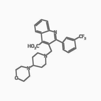 O=C(O)c1c(CN2CCC(N3CCOCC3)CC2)c(-c2cccc(C(F)(F)F)c2)nc2ccccc12